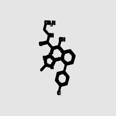 Cc1nc2c3c(-c4ccc(Cl)cc4)cccc3c(O)c(C(=O)NCC(=O)O)n2n1